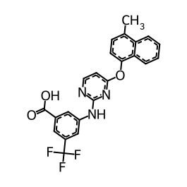 Cc1ccc(Oc2ccnc(Nc3cc(C(=O)O)cc(C(F)(F)F)c3)n2)c2ccccc12